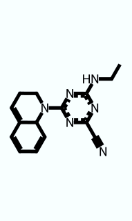 CCNc1nc(C#N)nc(N2CCC=C3C=CC=CC32)n1